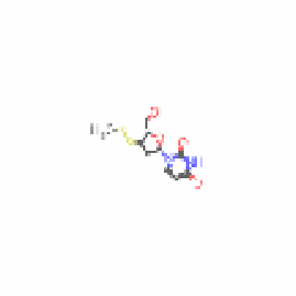 CSSC1C[C@H](n2ccc(=O)[nH]c2=O)O[C@@H]1CO